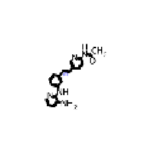 CC(=O)Nc1ccc(/C=C/c2cccc(Nc3ncccc3N)c2)cn1